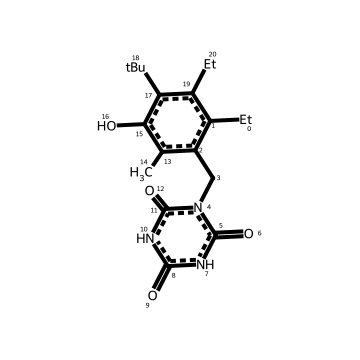 CCc1c(Cn2c(=O)[nH]c(=O)[nH]c2=O)c(C)c(O)c(C(C)(C)C)c1CC